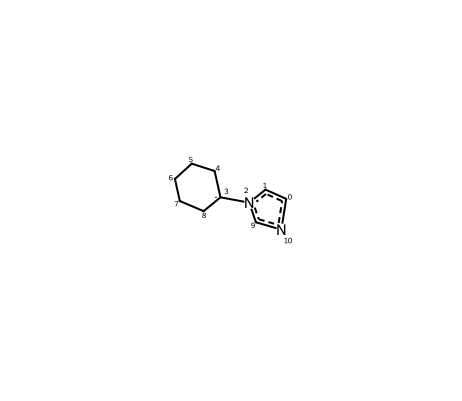 c1cn([C]2CCCCC2)cn1